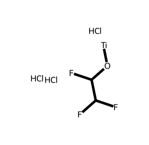 Cl.Cl.Cl.FC(F)C(F)[O][Ti]